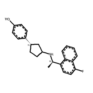 C[C@@H](NC1CC[C@H](c2ccc(O)cc2)C1)c1ccc(F)c2ccccc12